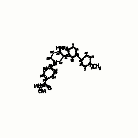 Cc1ccc(-c2ccc3[nH]c4c(c3c2)CN(c2ncc(C(=O)NO)cn2)CC4)cc1